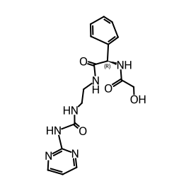 O=C(CO)N[C@@H](C(=O)NCCNC(=O)Nc1ncccn1)c1ccccc1